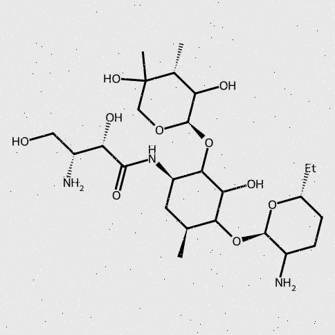 CC[C@@H]1CCC(N)[C@@H](OC2C(O)C(O[C@H]3OCC(C)(O)[C@H](C)C3O)[C@H](NC(=O)[C@@H](O)[C@H](N)CO)C[C@@H]2C)O1